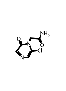 NC(=O)Cn1c(Cl)cncc1=O